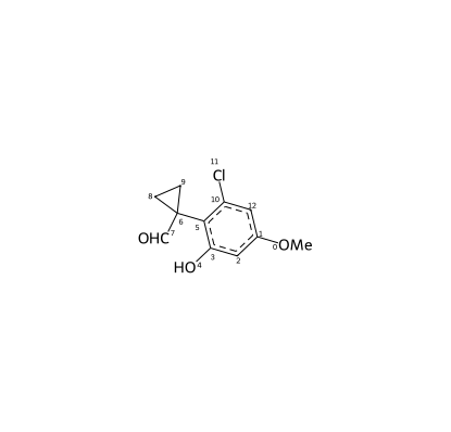 COc1cc(O)c(C2(C=O)CC2)c(Cl)c1